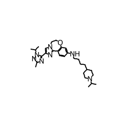 Cc1nc(-c2cn3c(n2)-c2ccc(NCCCCC4CCN(C(C)C)CC4)cc2OCC3)n(C(C)C)n1